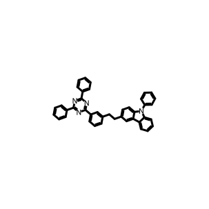 c1ccc(-c2nc(-c3ccccc3)nc(-c3cccc(CCc4ccc5c(c4)c4ccccc4n5-c4ccccc4)c3)n2)cc1